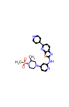 CC1CN(c2ccnc(Nc3nc4ccc(-c5ccncc5)nc4s3)c2)CCN1S(C)(=O)=O